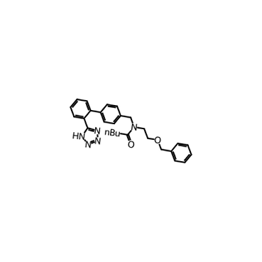 CCCCC(=O)N(CCOCc1ccccc1)Cc1ccc(-c2ccccc2-c2nnn[nH]2)cc1